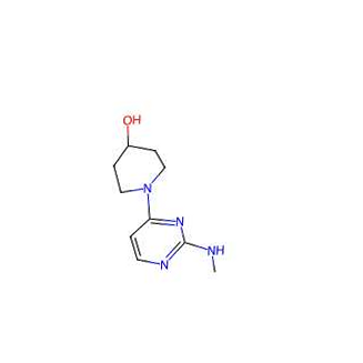 CNc1nccc(N2CCC(O)CC2)n1